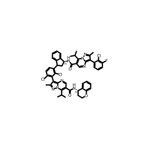 Cc1nn2c(C(C)C)c(C(=O)N[C@H]3CC(c4ccc(Cl)c(-c5c(C)nn6c(C(C)C)c(C(=O)N[C@H]7CCOc8ccccc87)cnc56)c4Cl)c4ccccc43)cnc2c1-c1cccc(F)c1Cl